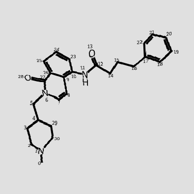 CN1CCC(Cn2ccc3c(NC(=O)CCCc4ccccc4)cccc3c2=O)CC1